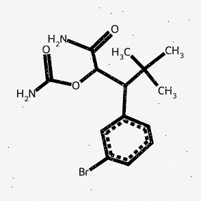 CC(C)(C)C(c1cccc(Br)c1)C(OC(N)=O)C(N)=O